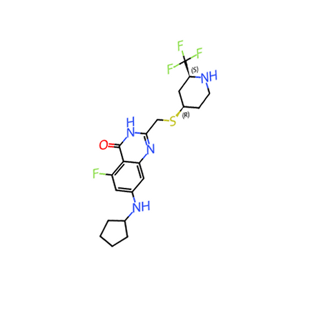 O=c1[nH]c(CS[C@@H]2CCN[C@H](C(F)(F)F)C2)nc2cc(NC3CCCC3)cc(F)c12